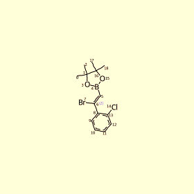 CC1(C)OB(/C=C(\Br)c2ccccc2Cl)OC1(C)C